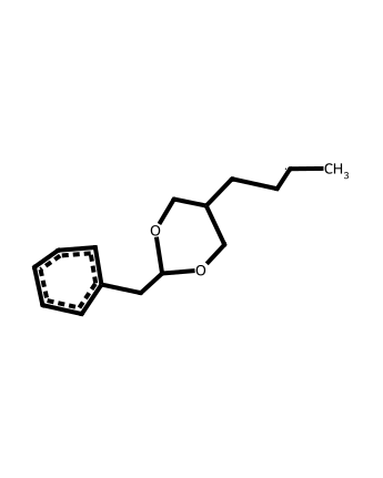 C[CH]CCC1COC(Cc2ccccc2)OC1